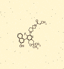 C=CC(=O)N1CC2(CCN(c3nc4c(c(-c5cc(O)cc6ccccc56)c3F)COC(C)(C)C4)C2)C1